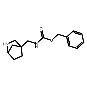 O=C(NCC12CCC(C1)NC2)OCc1ccccc1